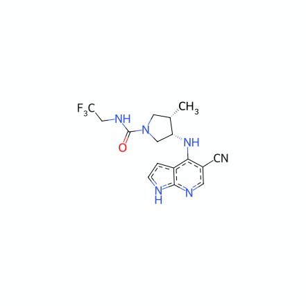 C[C@H]1CN(C(=O)NCC(F)(F)F)C[C@H]1Nc1c(C#N)cnc2[nH]ccc12